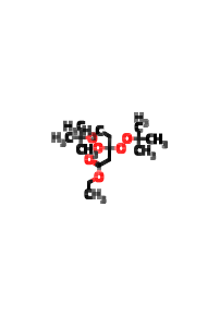 CCOC(=O)CC(CC)(OOC(C)(C)C)OOC(C)(C)C